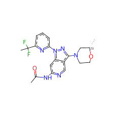 CC(=O)Nc1cc2c(cn1)c(N1CCO[C@@H](C)C1)nn2-c1cccc(C(C)(F)F)n1